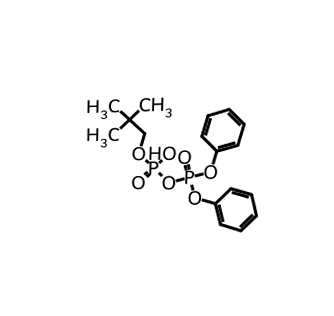 CC(C)(C)COP(=O)(O)OP(=O)(Oc1ccccc1)Oc1ccccc1